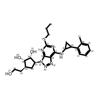 CCCSc1nc(NC2CC2c2ccccc2C)c2nnn([C@H]3C[C@@H](CCO)[C@H](O)[C@@H]3O)c2n1